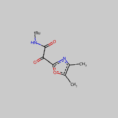 Cc1nc(C(=O)C(=O)NC(C)(C)C)oc1C